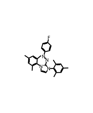 Cc1cc(C)c(-n2cc[n+](-c3c(C)cc(C)cc3C)c2N=Nc2ccc(F)cc2)c(C)c1